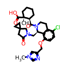 Cn1cnc(COc2ccc(Cl)c3c2[C@@H](CN2CC4(CC4)CC2=O)N(C(=O)[C@@H]2CCCC[C@]2(C)C(=O)O)CC3)c1